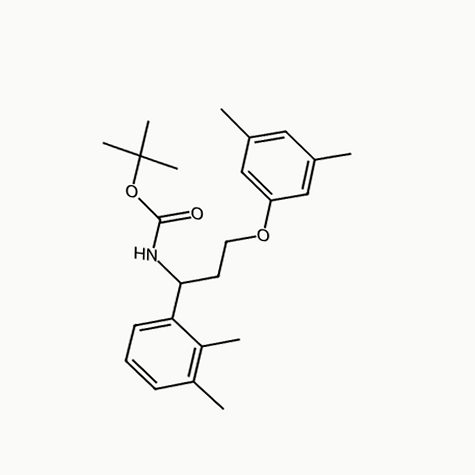 Cc1cc(C)cc(OCCC(NC(=O)OC(C)(C)C)c2cccc(C)c2C)c1